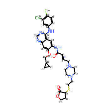 O=C(/C=C/CN1CCN(CCSC2CCOC2=O)CC1)Nc1cc2c(Nc3ccc(F)c(Cl)c3)ncnc2cc1OCC1CC1